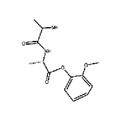 COc1ccccc1OC(=O)[C@H](C)NC(=O)C(C)S